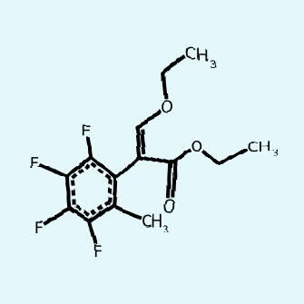 CCOC=C(C(=O)OCC)c1c(C)c(F)c(F)c(F)c1F